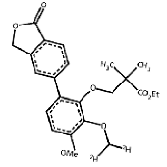 [2H]C([2H])Oc1c(OC)ccc(-c2ccc3c(c2)COC3=O)c1OCC(C)(C)C(=O)OCC